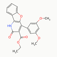 CCOC(=O)c1c(-c2cc(OC)cc(OC)c2)c2oc3ccccc3c2[nH]c1=O